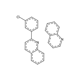 Clc1cccc(-c2ccc3ccccc3n2)c1.c1ccc2ncccc2c1